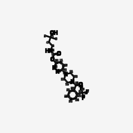 CC(C)(O)CCNC(=O)Oc1ccc(N2CCN(C(=O)c3ccccc3C(F)(F)F)CC2)nn1